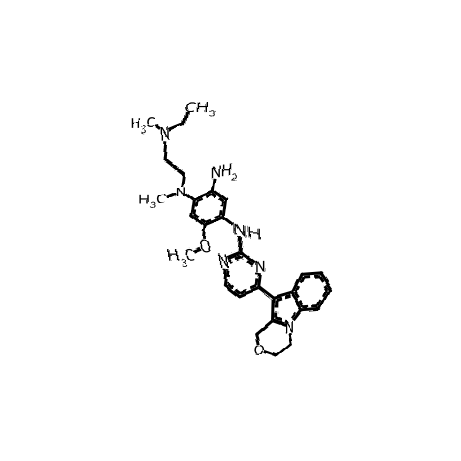 CCN(C)CCN(C)c1cc(OC)c(Nc2nccc(-c3c4n(c5ccccc35)CCOC4)n2)cc1N